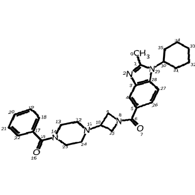 Cc1nc2cc(C(=O)N3CC(N4CCN(C(=O)c5ccccc5)CC4)C3)ccc2n1C1CCCCC1